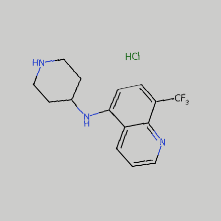 Cl.FC(F)(F)c1ccc(NC2CCNCC2)c2cccnc12